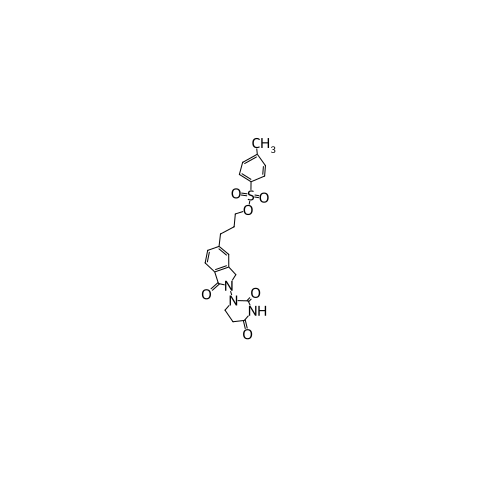 Cc1ccc(S(=O)(=O)OCCCc2ccc3c(c2)CN(N2CCC(=O)NC2=O)C3=O)cc1